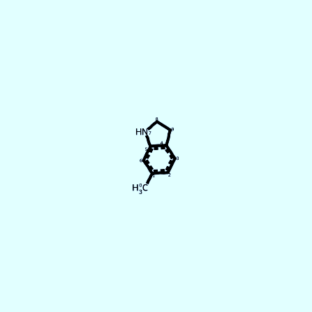 Cc1ccc2c(c1)NCC2